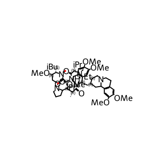 CC[C@H]1CN2CCc3cc(OC)c(OC)cc3C2C[C@@H]1C[C@@H]1c2cc(OC)c(OC)cc2CCN1C(=O)[C@H](C)[C@@H](OC)C1CCCN1C(=O)C[C@@H](OC)C([C@@H](C)CC)N(C)C(=O)[C@@H](NC(=O)[C@H](C(C)C)N(C)C)C(C)C